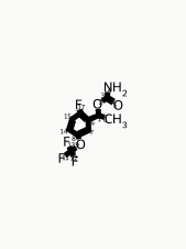 CC(OC(N)=O)c1cc(OC(F)(F)F)ccc1F